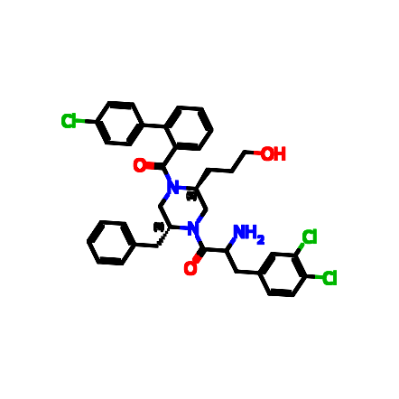 NC(Cc1ccc(Cl)c(Cl)c1)C(=O)N1C[C@H](CCCO)N(C(=O)c2ccccc2-c2ccc(Cl)cc2)C[C@H]1Cc1ccccc1